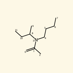 C=C(C)N(CCCC)C(C)CC